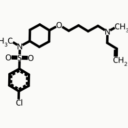 C=CCN(C)CCCCOC1CCC(N(C)S(=O)(=O)c2ccc(Cl)cc2)CC1